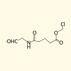 O=[C]CNC(=O)CCCC(=O)OCCl